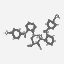 CCCC[C@H]1CN(c2ccccc2Nc2ccc(C)cc2)NN(c2ccccc2Nc2ccc(C)cc2)C1=S